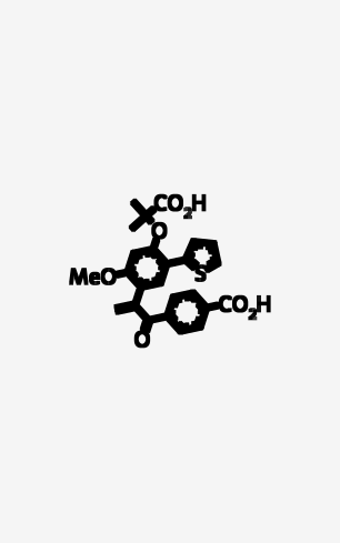 C=C(C(=O)c1ccc(C(=O)O)cc1)c1cc(-c2cccs2)c(OC(C)(C)C(=O)O)cc1OC